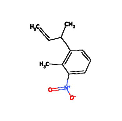 C=C[C](C)c1cccc([N+](=O)[O-])c1C